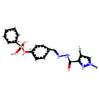 Cn1cc(Cl)c(C(=O)N/N=C/c2ccc(OS(=O)(=O)c3ccccc3)cc2)n1